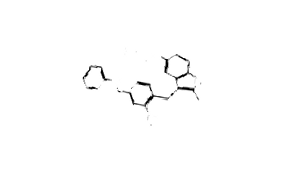 Cc1[nH]c2ccc(C(=O)O)cc2c1Cc1ccc(COc2ccccc2)cc1Cl